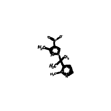 Cc1nn(C(C)(C)c2ccnn2C)cc1[N+](=O)[O-]